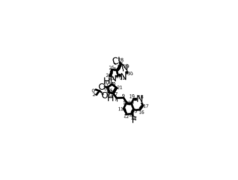 CC1(C)O[C@@H]2[C@H](O1)C(CCc1ccc(F)c3ccncc13)=C[C@H]2n1ccc2c(Cl)ncnc21